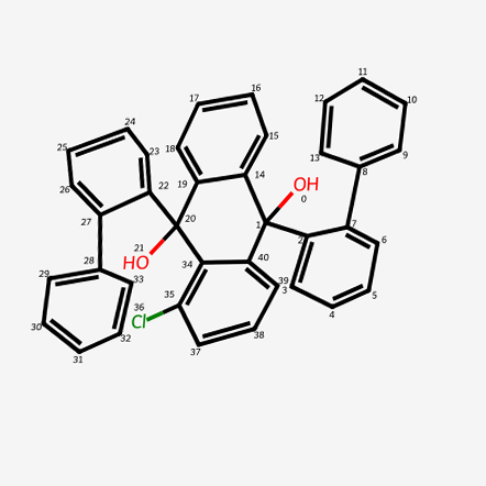 OC1(c2ccccc2-c2ccccc2)c2ccccc2C(O)(c2ccccc2-c2ccccc2)c2c(Cl)cccc21